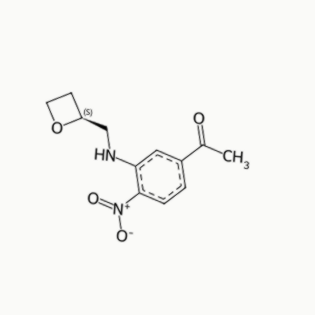 CC(=O)c1ccc([N+](=O)[O-])c(NC[C@@H]2CCO2)c1